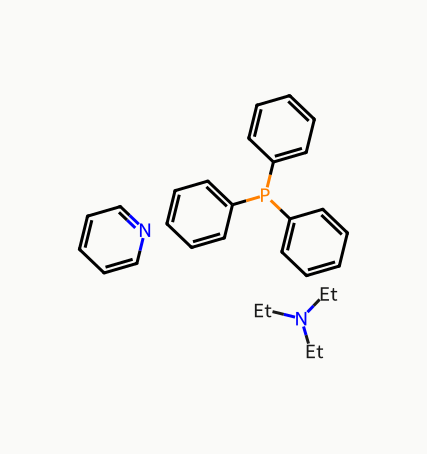 CCN(CC)CC.c1ccc(P(c2ccccc2)c2ccccc2)cc1.c1ccncc1